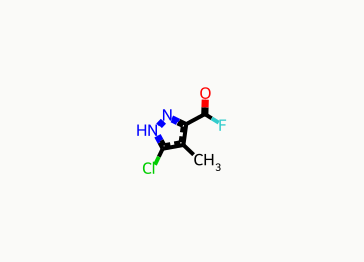 Cc1c(C(=O)F)n[nH]c1Cl